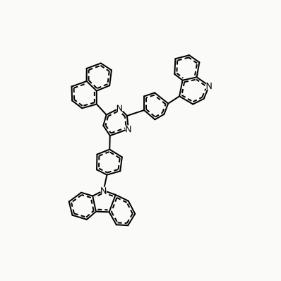 c1ccc2c(-c3cc(-c4ccc(-n5c6ccccc6c6ccccc65)cc4)nc(-c4ccc(-c5ccnc6ccccc56)cc4)n3)cccc2c1